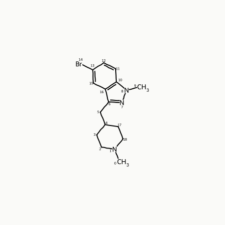 CN1CCC(Cc2nn(C)c3ccc(Br)cc23)CC1